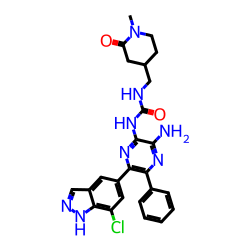 CN1CCC(CNC(=O)Nc2nc(-c3cc(Cl)c4[nH]ncc4c3)c(-c3ccccc3)nc2N)CC1=O